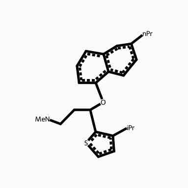 CCCc1ccc2c(OC(CCNC)c3sccc3C(C)C)cccc2c1